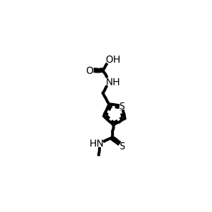 CNC(=S)c1csc(CNC(=O)O)c1